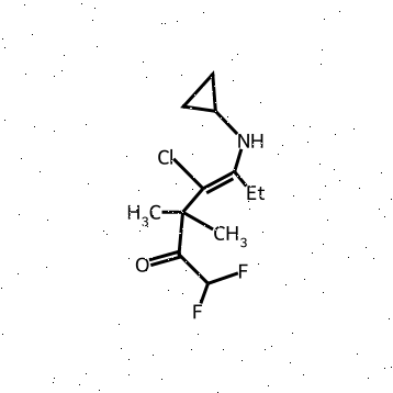 CCC(NC1CC1)=C(Cl)C(C)(C)C(=O)C(F)F